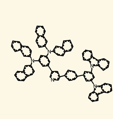 c1ccc2cc(N(c3cc(-c4cncc(-c5ccc(-c6cc(-n7c8ccccc8c8ccccc87)cc(-n7c8ccccc8c8ccccc87)c6)cc5)c4)cc(N(c4ccc5ccccc5c4)c4ccc5ccccc5c4)c3)c3ccc4ccccc4c3)ccc2c1